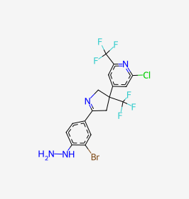 NNc1ccc(C2=NCC(c3cc(Cl)nc(C(F)(F)F)c3)(C(F)(F)F)C2)cc1Br